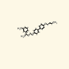 C/C=C/COc1ccc(-c2ccc(OCOC(C)c3cccc(C)c3)cc2)cc1